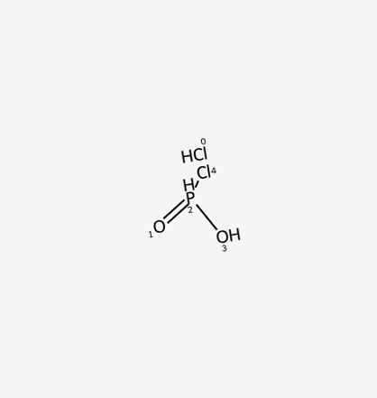 Cl.O=[PH](O)Cl